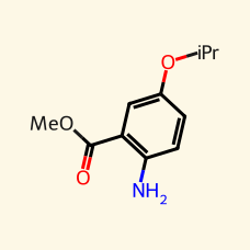 COC(=O)c1cc(OC(C)C)ccc1N